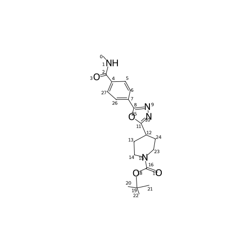 CNC(=O)c1ccc(-c2nnc(C3CCN(C(=O)OC(C)(C)C)CC3)o2)cc1